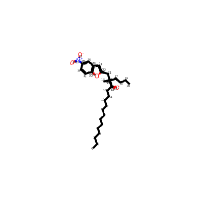 CCCCCCCCCCCCCC(=O)C(C)(CCCC)Cc1cc2cc([N+](=O)[O-])ccc2o1